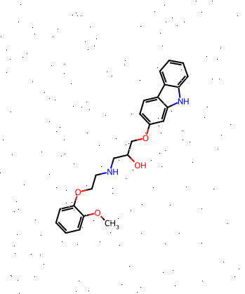 COc1ccccc1OCCNCC(O)COc1ccc2c(c1)[nH]c1ccccc12